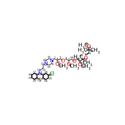 COC(COCC(CN1CCN(CCCN2c3ccccc3Sc3ccc(Cl)cc32)CC1)OC)COCC(OC)C(C)(C)OCCC(C)(C)OC